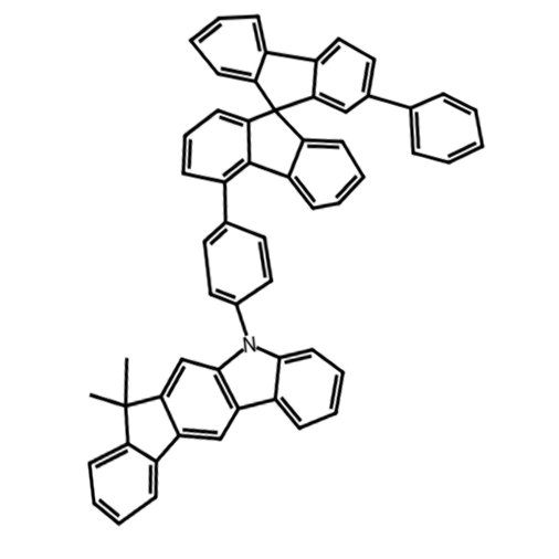 CC1(C)c2ccccc2-c2cc3c4ccccc4n(-c4ccc(-c5cccc6c5-c5ccccc5C65c6ccccc6-c6ccc(-c7ccccc7)cc65)cc4)c3cc21